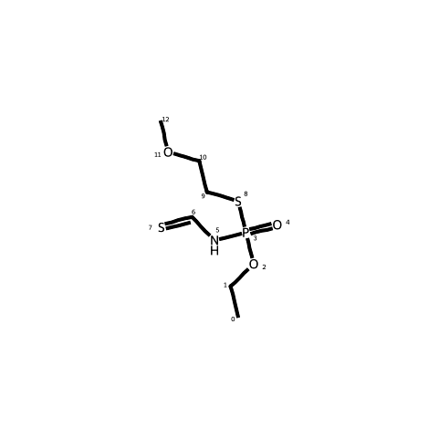 CCOP(=O)(NC=S)SCCOC